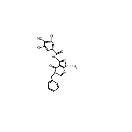 Cn1nc(NC(=O)c2cc(Cl)c(O)c(Cl)c2)c2c(=O)n(Cc3ccccc3)cnc21